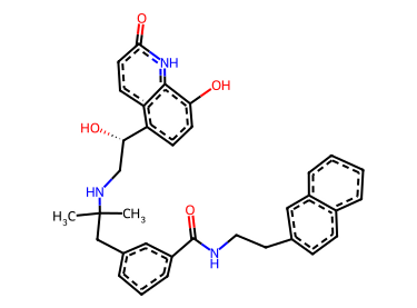 CC(C)(Cc1cccc(C(=O)NCCc2ccc3ccccc3c2)c1)NC[C@H](O)c1ccc(O)c2[nH]c(=O)ccc12